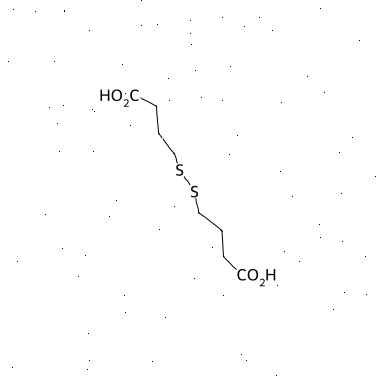 O=C(O)CCCSSCCCC(=O)O